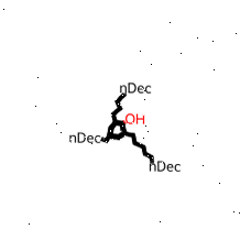 CCCCCCCCCCCCCCCc1cc(CCCCCCCCCCC)cc(CCCCCCCCCCCCCC)c1O